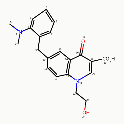 CN(C)c1ccccc1Cc1ccc2c(c1)c(=O)c(C(=O)O)cn2CCO